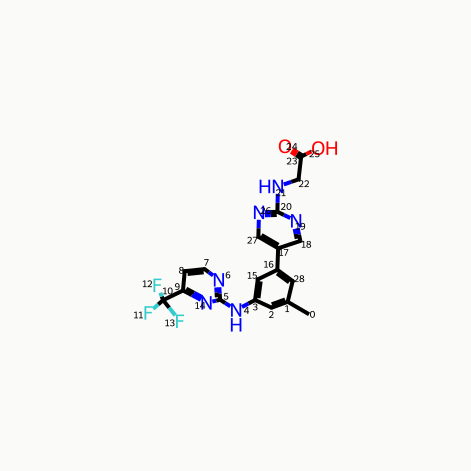 Cc1cc(Nc2nccc(C(F)(F)F)n2)cc(-c2cnc(NCC(=O)O)nc2)c1